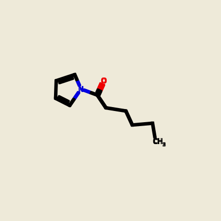 CCCCCC(=O)n1cccc1